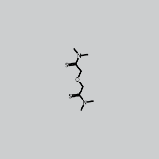 CN(C)C(=S)COCC(=S)N(C)C